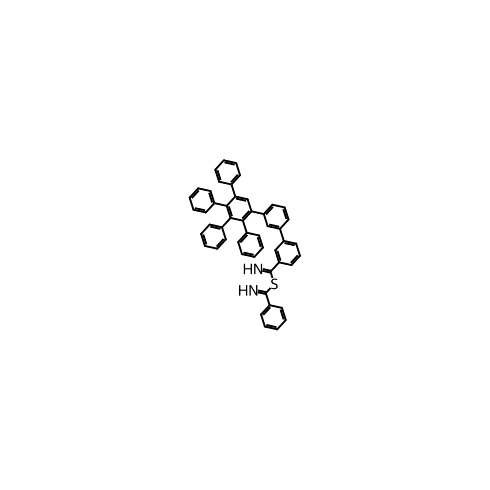 N=C(SC(=N)c1cccc(-c2cccc(-c3cc(-c4ccccc4)c(-c4ccccc4)c(-c4ccccc4)c3-c3ccccc3)c2)c1)c1ccccc1